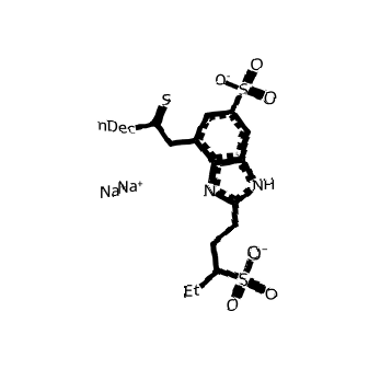 CCCCCCCCCCC(=S)Cc1cc(S(=O)(=O)[O-])cc2[nH]c(CCC(CC)S(=O)(=O)[O-])nc12.[Na+].[Na+]